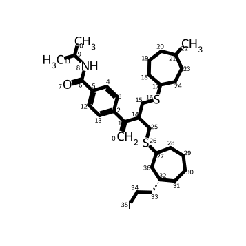 C=C(c1ccc(C(=O)NC(C)C)cc1)C(CSC1CCCC(C)CC1)CSC1CCCC[C@H](CCI)C1